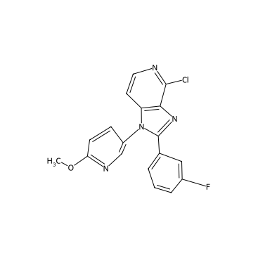 COc1ccc(-n2c(-c3cccc(F)c3)nc3c(Cl)nccc32)cn1